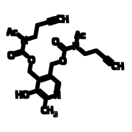 C#CCCN(C(C)=O)C(=O)OCc1cnc(C)c(O)c1COC(=O)N(CCC#C)C(C)=O